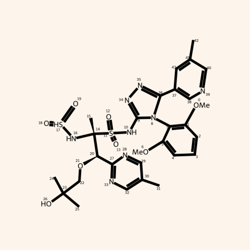 COc1cccc(OC)c1-n1c(NS(=O)(=O)[C@@](C)(N[SH](=O)=O)[C@H](OCC(C)(C)O)c2ncc(C)cn2)nnc1-c1cncc(C)c1